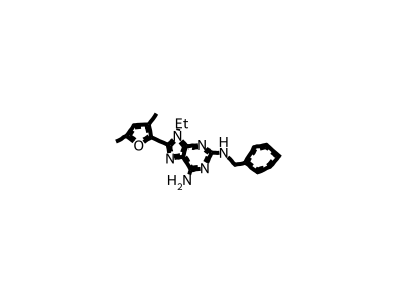 CCn1c(-c2oc(C)cc2C)nc2c(N)nc(NCc3ccccc3)nc21